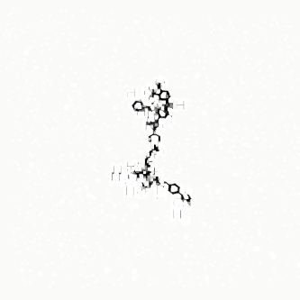 Cc1ncsc1-c1ccc(CNC(=O)[C@@H]2C[C@@H](O)CN2C(=O)[C@@H](NC(=O)COCC(=O)N2CCC(c3nnc(-c4cnc(Nc5ccc6c(c5)C(C)(C)OC6=O)nc4N[C@H](CO)c4ccccc4)o3)CC2)C(C)(C)C)cc1